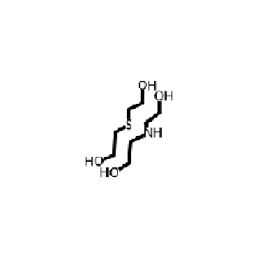 OCCNCCO.OCCSCCO